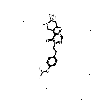 C[C@H]1Cc2nn3cnn(CCc4ccc(OC(F)F)cc4)c(=O)c3c2CN1